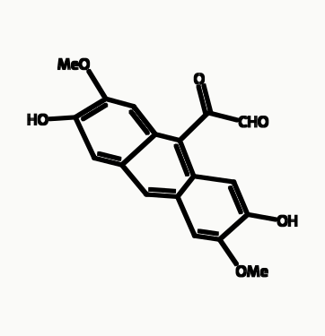 COc1cc2cc3cc(O)c(OC)cc3c(C(=O)C=O)c2cc1O